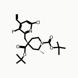 C=Cc1cc(Cl)nc(C[C@@]2(C(=O)OC(C)(C)C)CCN(C(=O)OC(C)(C)C)[C@H](C)C2)c1F